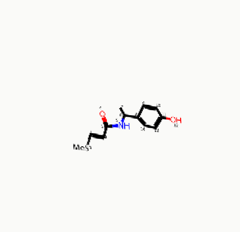 CS/C=C/C(=O)NC(C)c1ccc(O)cc1